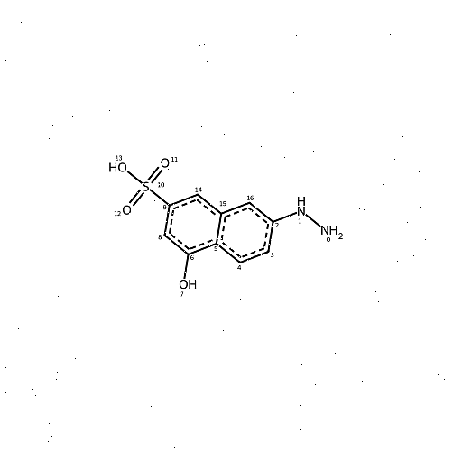 NNc1ccc2c(O)cc(S(=O)(=O)O)cc2c1